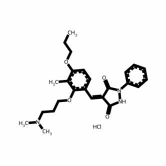 CCCOc1ccc(C=C2C(=O)NN(c3ccccc3)C2=O)c(OCCCN(C)C)c1C.Cl